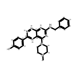 CN1CCN(c2nc(NCc3ccccc3)nc3nnc(-c4ccc(F)cc4)nc23)CC1